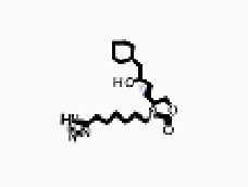 O=C1OCC(/C=C/C(O)CC2CCCCC2)N1CCCCCCc1nnn[nH]1